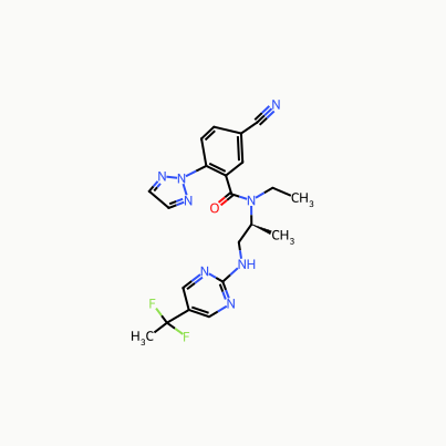 CCN(C(=O)c1cc(C#N)ccc1-n1nccn1)[C@@H](C)CNc1ncc(C(C)(F)F)cn1